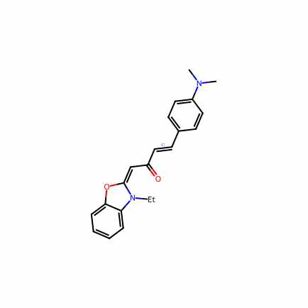 CCN1C(=CC(=O)/C=C/c2ccc(N(C)C)cc2)Oc2ccccc21